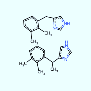 Cc1cccc(C(C)c2c[nH]cn2)c1C.Cc1cccc(Cc2c[nH]cn2)c1C